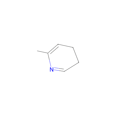 CC1=CCCC=N1